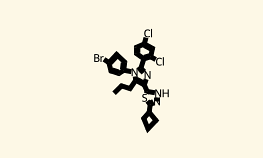 CCCc1c(C2NN=C(C3CCC3)S2)nc(-c2ccc(Cl)cc2Cl)n1-c1ccc(Br)cc1